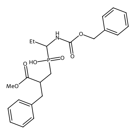 CCC(NC(=O)OCc1ccccc1)P(=O)(O)CC(Cc1ccccc1)C(=O)OC